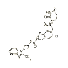 O=C1CC[C@H](N2Cc3c(Cl)cc(CNC(=O)OC4CC(n5c(C(F)(F)F)nc6ncccc65)C4)c(F)c3C2=O)C(=O)N1